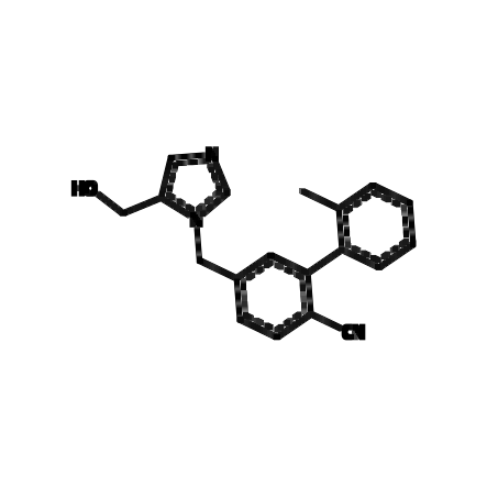 Cc1ccccc1-c1cc(Cn2cncc2CO)ccc1C#N